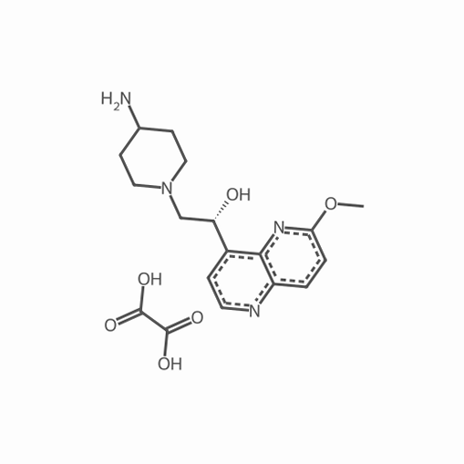 COc1ccc2nccc([C@@H](O)CN3CCC(N)CC3)c2n1.O=C(O)C(=O)O